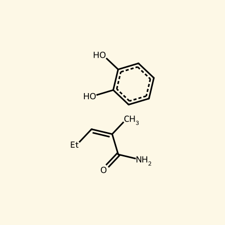 CCC=C(C)C(N)=O.Oc1ccccc1O